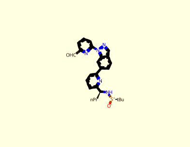 CCC[C@H](N[S@@+]([O-])C(C)(C)C)c1cccc(-c2ccc3cnn(-c4cccc(C=O)n4)c3c2)n1